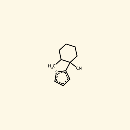 CC1CCCCC1(C#N)c1cccs1